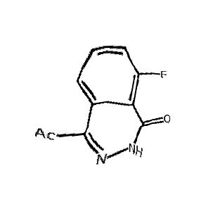 CC(=O)c1n[nH]c(=O)c2c(F)cccc12